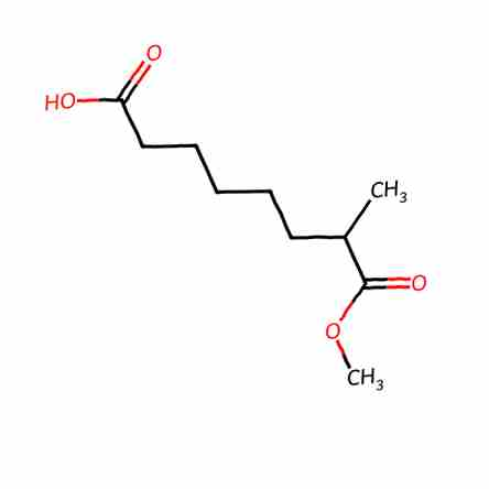 COC(=O)C(C)CCCCCC(=O)O